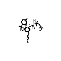 C=C(C)[C@@H]1CCC(C)=C[C@H]1c1c(O)cc(CCCCC)cc1OC(=O)NC(C)(C)CC1CO1